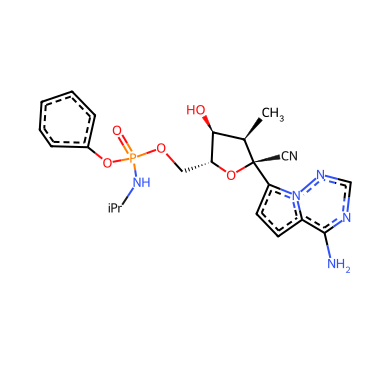 CC(C)NP(=O)(OC[C@H]1O[C@@](C#N)(c2ccc3c(N)ncnn23)[C@H](C)[C@@H]1O)Oc1ccccc1